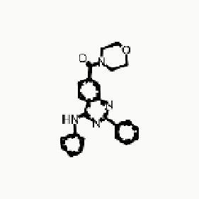 O=C(c1ccc2c(Nc3ccccc3)nc(-c3ccccc3)nc2c1)N1CCOCC1